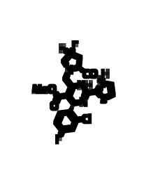 COC(=O)C1=C(CN2CC(F)(F)C[C@H]2C(=O)O)NC(c2nccs2)=N[C@@H]1c1ccc(F)cc1Cl